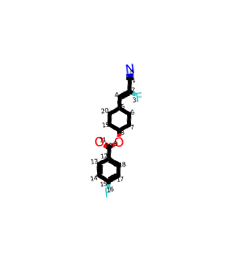 N#CC(F)=CC1CCC(OC(=O)c2ccc(F)cc2)CC1